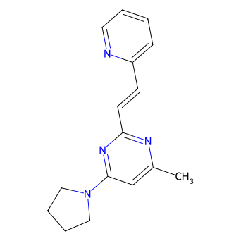 Cc1cc(N2CCCC2)nc(/C=C/c2ccccn2)n1